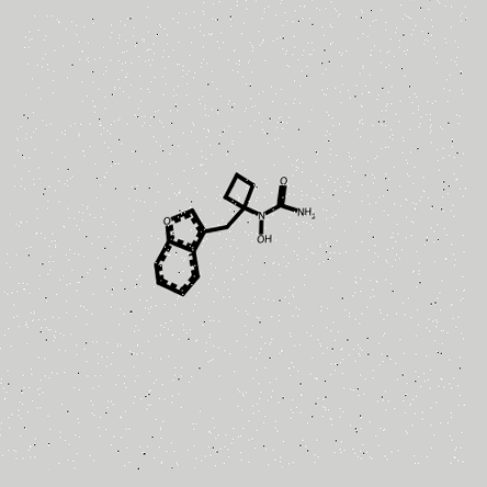 NC(=O)N(O)C1(Cc2coc3ccccc23)CCC1